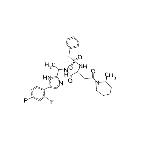 CC(NC(=O)C(CC(=O)N1CCCC[C@@H]1C)NS(=O)(=O)Cc1ccccc1)c1ncc(-c2ccc(F)cc2F)[nH]1